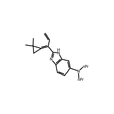 C=C/C(=C1/CC1(C)C)c1nc2ccc(N(CCC)CCC)cc2[nH]1